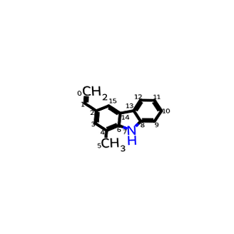 C=Cc1cc(C)c2[nH]c3ccccc3c2c1